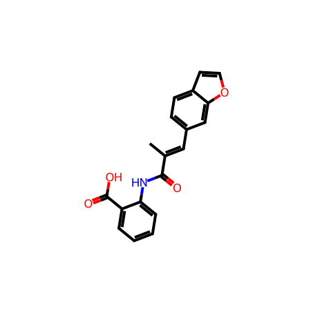 C/C(=C\c1ccc2ccoc2c1)C(=O)Nc1ccccc1C(=O)O